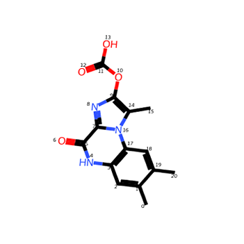 Cc1cc2[nH]c(=O)c3nc(OC(=O)O)c(C)n3c2cc1C